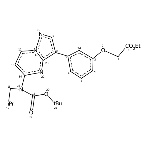 CCOC(=O)COc1cccc(-c2cnn3ccc(N(CC(C)C)C(=O)OC(C)(C)C)nc23)c1